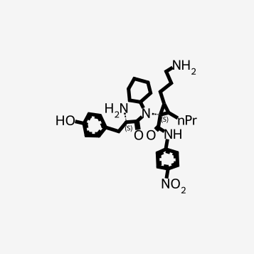 CCCC1C(CCCN)[C@@]1(C(=O)Nc1ccc([N+](=O)[O-])cc1)N(C(=O)[C@@H](N)Cc1ccc(O)cc1)C1CCCCC1